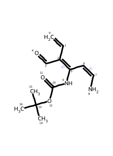 C=C/C(C=O)=C(\C=C/N)NC(=O)OC(C)(C)C